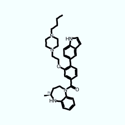 CCCCN1CCN(CCOc2cc(C(=O)N3CC[C@H](C)Nc4ccccc43)ccc2-c2ccc3[nH]ccc3c2)CC1